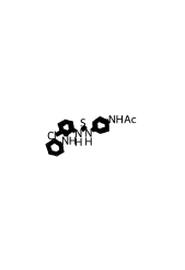 CC(=O)Nc1ccc(NC(=S)Nc2cccc(Cl)c2NC2CCCCC2)cc1